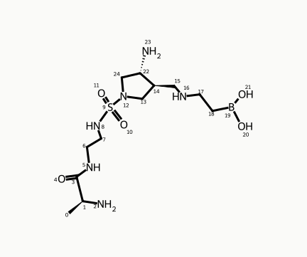 C[C@H](N)C(=O)NCCNS(=O)(=O)N1C[C@H](CNCCB(O)O)[C@@H](N)C1